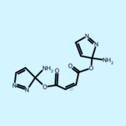 NC1(OC(=O)/C=C\C(=O)OC2(N)C=CN=N2)C=CN=N1